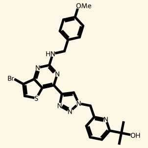 COc1ccc(CNc2nc(-c3cn(Cc4cccc(C(C)(C)O)n4)nn3)c3scc(Br)c3n2)cc1